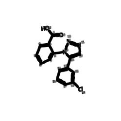 O=C(O)c1ccccc1-n1nncc1-c1cccc(Cl)c1